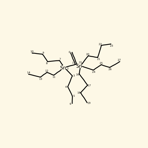 C=[C]([Sn]([CH2]CCC)([CH2]CCC)[CH2]CCC)[Sn]([CH2]CCC)([CH2]CCC)[CH2]CCC